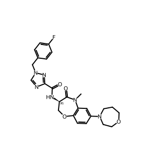 CN1C(=O)[C@H](NC(=O)c2ncn(Cc3ccc(F)cc3)n2)COc2ccc(N3CCCOCC3)cc21